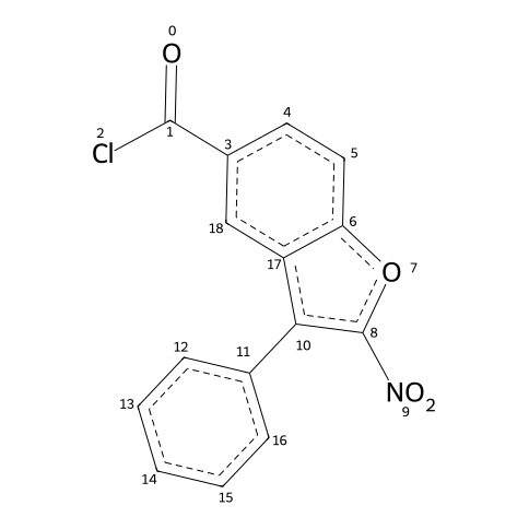 O=C(Cl)c1ccc2oc([N+](=O)[O-])c(-c3ccccc3)c2c1